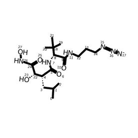 CC(C)C[C@@H](C(=O)N[C@@H](C(=O)NCCCN=[N+]=[N-])C(C)(C)C)[C@H](O)C(=O)NO